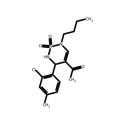 CCCCN1C=C(C(C)=O)C(c2ccc(C)cc2Cl)NS1(=O)=O